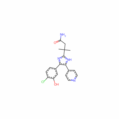 CC(C)(CC(N)=O)c1nc(-c2ccc(Cl)c(O)c2)c(-c2ccncc2)[nH]1